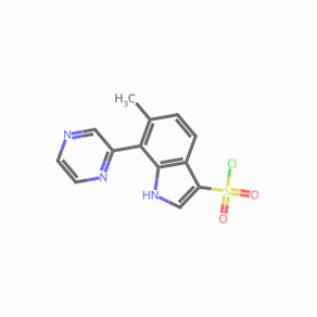 Cc1ccc2c(S(=O)(=O)Cl)c[nH]c2c1-c1cnccn1